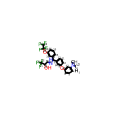 CN(C)c1cccc(Oc2cccc(C(NC[C@@H](O)C(F)(F)F)c3cccc(OC(F)(F)C(F)F)c3)c2)c1